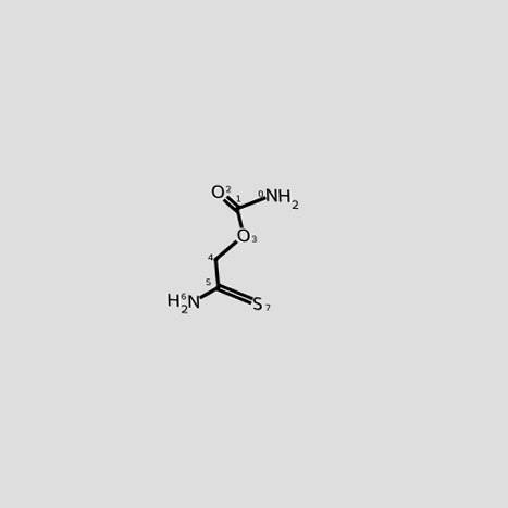 NC(=O)OCC(N)=S